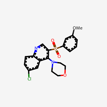 COc1cccc(S(=O)(=O)c2cnc3ccc(Cl)cc3c2N2CCOCC2)c1